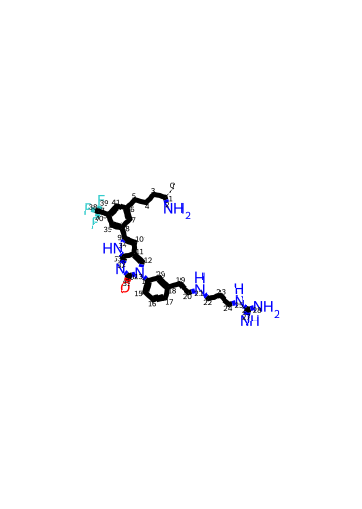 C[C@H](N)CCCc1cc(-c2cc3cn(-c4cccc(CCNCCCNC(=N)N)c4)c(=O)nc3[nH]2)cc(C(F)(F)F)c1